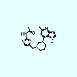 CC(=O)Nc1ncc(CN2CCCC(c3cc(C)nc4cc[nH]c34)C2)s1